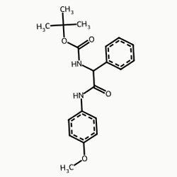 COc1ccc(NC(=O)C(NC(=O)OC(C)(C)C)c2ccccc2)cc1